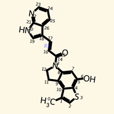 Cc1csc2c(O)cc3c(c12)CCN3C(=O)/C=C/c1c[nH]c2ncccc12